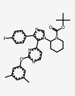 Cc1cc(C)cc(Oc2nccc(-c3c(-c4ccc(F)cc4)ncn3C3CCCCN3C(=O)OC(C)(C)C)n2)c1